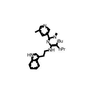 C=N/C(=N\C(NCCc1c[nH]c2ccccc12)=C(\CCC)C(C)CC)c1cncc(C)c1